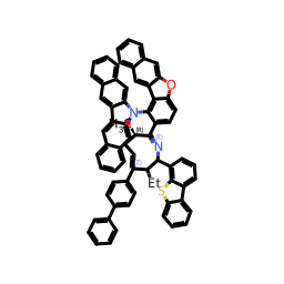 CCC1/C(c2ccc(-c3ccccc3)cc2)=C/C[C@@H](C)/C(c2ccc3oc4cc5ccccc5cc4c3c2-n2c3cc4ccccc4cc3c3cc4ccccc4cc32)=N\C1c1cccc2c1sc1ccccc12